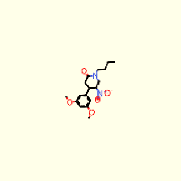 CCCCN1CC([N+](=O)[O-])C(c2cc(OC)cc(OC)c2)CC1=O